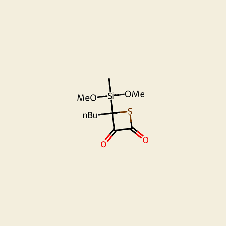 CCCCC1([Si](C)(OC)OC)SC(=O)C1=O